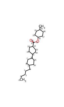 CCCCCC1CCC(C2CCC(C(=O)OC3CCC(C)CC3)CC2)CC1